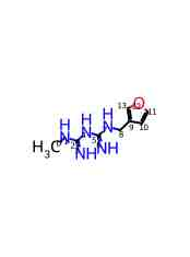 CNC(=N)NC(=N)NCc1ccoc1